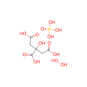 O=C(O)CC(O)(CC(=O)O)C(=O)O.O=P(O)(O)O.OO